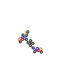 c1ccc(N(c2ccc(-c3ccc4c(c3)C3(c5ccccc5-c5ccccc53)c3cc(-c5ccc(N(c6ccc7c(c6)sc6ccccc67)c6cccc7ccccc67)c(-c6ccc7oc8ccccc8c7c6)c5)ccc3-4)cc2)c2cccc3ccccc23)c(-c2ccc3oc4ccccc4c3c2)c1